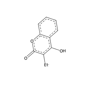 C[CH]c1c(O)c2ccccc2oc1=O